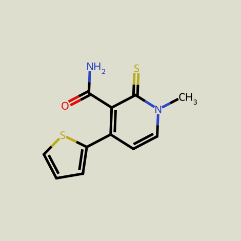 Cn1ccc(-c2cccs2)c(C(N)=O)c1=S